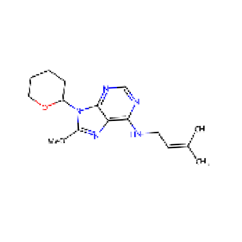 COc1nc2c(NCC=C(C)C)ncnc2n1C1CCCCO1